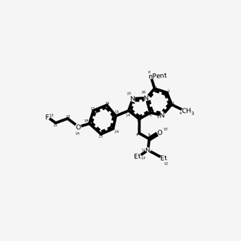 CCCCCc1cc(C)nc2c(CC(=O)N(CC)CC)c(-c3ccc(OCCF)cc3)nn12